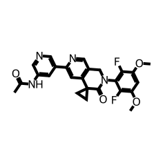 COc1cc(OC)c(F)c(N2Cc3cnc(-c4cncc(NC(C)=O)c4)cc3C3(CC3)C2=O)c1F